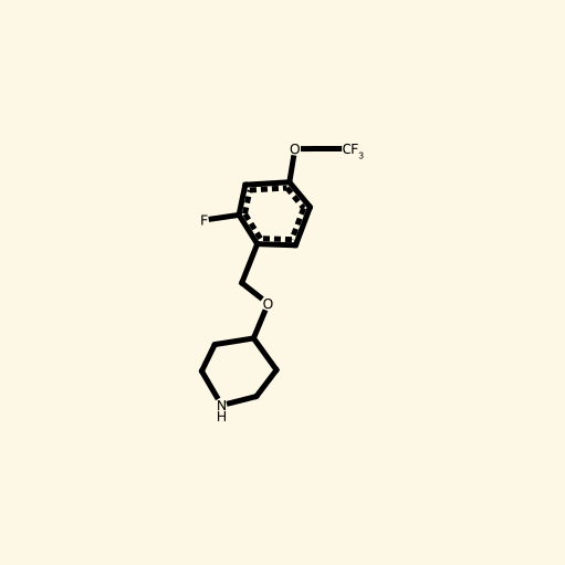 Fc1cc(OC(F)(F)F)ccc1COC1CCNCC1